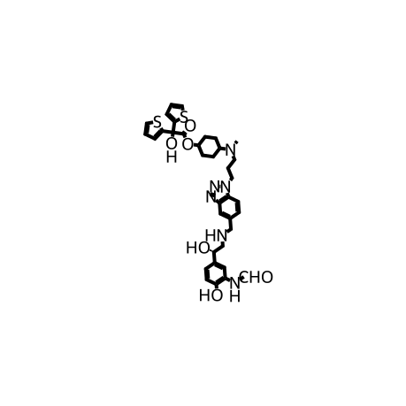 CN(CCCn1nnc2cc(CNC[C@@H](O)c3ccc(O)c(NC=O)c3)ccc21)C1CCC(OC(=O)C(O)(c2cccs2)c2cccs2)CC1